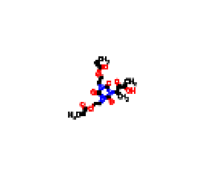 C=CC(=O)OCCn1c(=O)n(CCOC(=O)C=C)c(=O)n(C(=C)C(=O)C(=C)O)c1=O